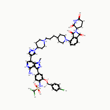 C[C@H](Oc1cc(-c2nn(C)c3c(-c4cnn(C5CCN(CCCC6CCN(c7cccc8c7C(=O)N(C7CCC(=O)NC7=O)C8=O)CC6)CC5)c4)cnc(N)c23)ccc1NS(=O)(=O)C(F)F)c1ccc(F)cc1